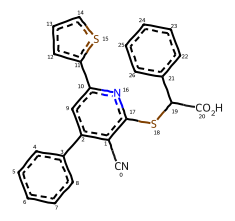 N#Cc1c(-c2ccccc2)cc(-c2cccs2)nc1SC(C(=O)O)c1ccccc1